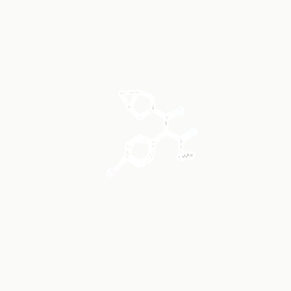 COC(=O)C(C(=O)C1CC2CC2C1)c1ccc(Cl)cc1